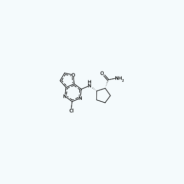 NC(=O)[C@@H]1CCC[C@@H]1Nc1nc(Cl)nc2ccoc12